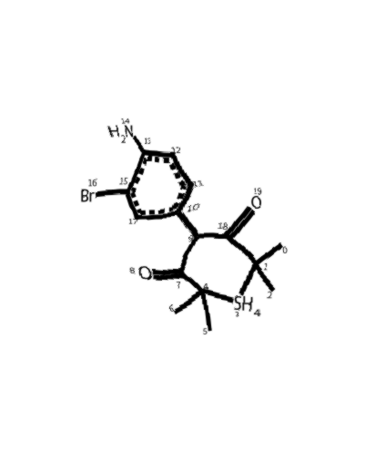 CC1(C)[SH4]C(C)(C)C(=O)C(c2ccc(N)c(Br)c2)C1=O